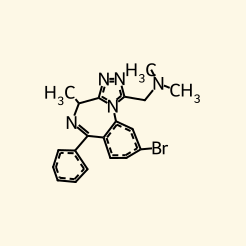 CC1N=C(c2ccccc2)c2ccc(Br)cc2-n2c(CN(C)C)nnc21